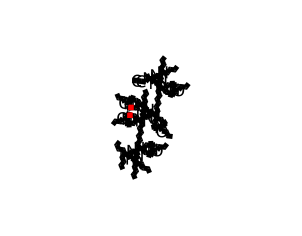 C=C=C=CN(C)c1nc(N(CCCC)CCCC)nc(N(CCCCCCN(c2nc(N(CCCC)C3CC(C)(C)N(OCCC)C(C)(C)C3)nc(N(CCCCCCN(c3nc(N(CCCC)CCCC)nc(N(CCCC)CCCC)n3)C3CC(C)(C)N(OCCC)C(C)(C)C3)C3CC(C)(C)N(OCCC)C(C)(C)C3)n2)C2CC(C)(C)N(OCCC)C(C)(C)C2)C2CC(C)(C)N(OCCC)C(C)(C)C2)n1